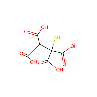 O=C(O)C(C(=O)O)C(S)(C(=O)O)C(=O)O